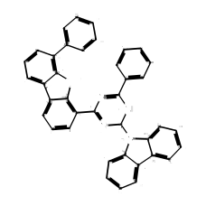 c1ccc(C2=NC(c3cccc4c3oc3c(-c5ccccc5)cccc34)=NC(n3c4ccccc4c4ccccc43)N2)cc1